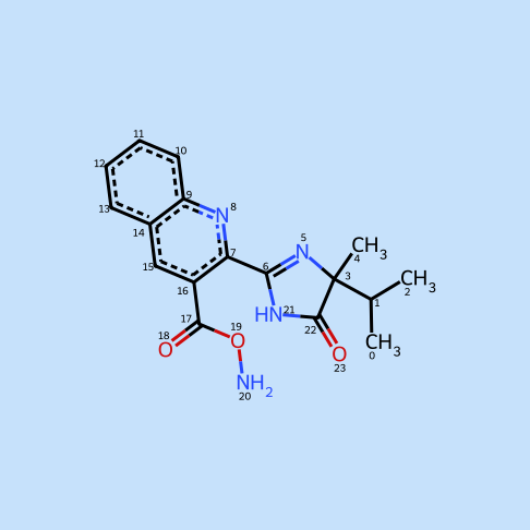 CC(C)C1(C)N=C(c2nc3ccccc3cc2C(=O)ON)NC1=O